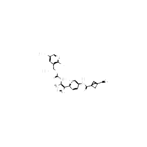 Cc1cnc(F)c([C@@H](C)OC(=O)Nc2c(-c3ccc(NC(=O)C45CC(C#N)(C4)C5)cn3)nnn2C)c1